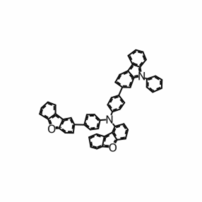 c1ccc(-n2c3ccccc3c3ccc(-c4ccc(N(c5ccc(-c6ccc7oc8ccccc8c7c6)cc5)c5cccc6oc7ccccc7c56)cc4)cc32)cc1